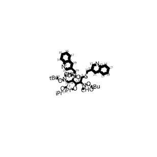 CC(C)OC[C@@H](C(C(OC(C)C)C(CSCc1cnc2ccccc2c1)N(C=O)OC(C)(C)C)S(=O)(=O)Cc1cnc2ccccc2c1)N(C=O)OC(C)(C)C